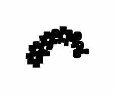 CC(=O)OCC(=O)N1CCC(Oc2ccc(-c3ccc4cccnc4c3C)cc2)CC1